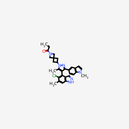 C=CC(=O)N1CC2(CC(n3nc(-c4ccc5c(ccn5C)c4)c(-c4c(Cl)c(C)cc5[nH]ncc45)c3C)C2)C1